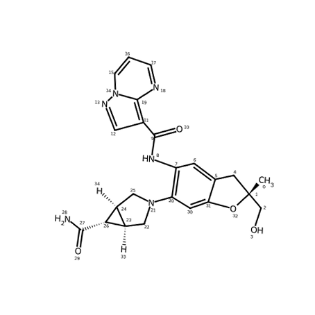 C[C@]1(CO)Cc2cc(NC(=O)c3cnn4cccnc34)c(N3C[C@@H]4[C@H](C3)[C@H]4C(N)=O)cc2O1